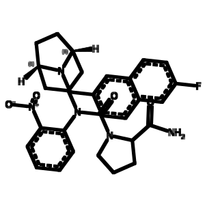 NC(=O)C1CCCN1C(=O)N(c1ccccc1[N+](=O)[O-])C1C[C@H]2CC[C@@H](C1)N2Cc1ccc2cc(F)ccc2c1